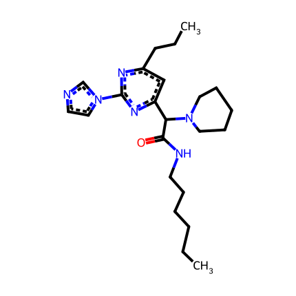 CCCCCCNC(=O)C(c1cc(CCC)nc(-n2ccnc2)n1)N1CCCCC1